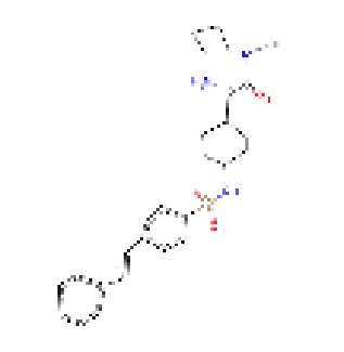 CN(C(=O)[C@@H](N)C1CCC(NS(=O)(=O)c2ccc(/C=C/c3ccccc3)cc2)CC1)C1CCC1